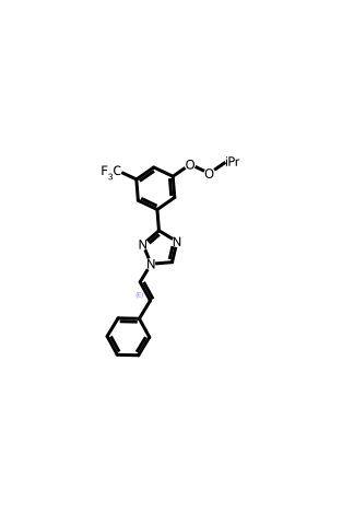 CC(C)OOc1cc(-c2ncn(/C=C/c3ccccc3)n2)cc(C(F)(F)F)c1